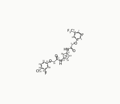 O=C(COc1cncc(C(F)(F)F)c1)NC12CCC(NC(=O)COc3ccc(Cl)c(F)c3)(C1)C2